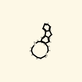 [CH]1c2ccccc2-c2cc3c(cc21)CCCCCCCCCCC3